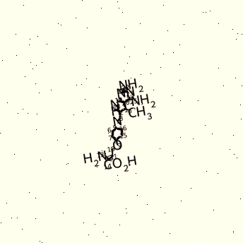 Cc1c(CNc2ccc(OCC[C@H](N)C(=O)O)cc2)cnc2nc(N)nc(N)c12